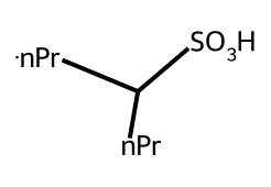 CC[CH]C(CCC)S(=O)(=O)O